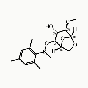 CO[C@H]1[C@@H]2OC[C@@H](O2)[C@@H](OB(C)c2c(C)cc(C)cc2C)[C@@H]1O